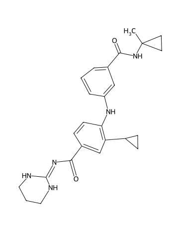 CC1(NC(=O)c2cccc(Nc3ccc(C(=O)N=C4NCCCN4)cc3C3CC3)c2)CC1